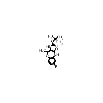 CC1Oc2ccc(F)cc2NC(=O)C1NC(=O)OC(C)(C)C